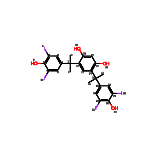 CC(C)(c1cc(I)c(O)c(I)c1)c1cc(C(C)(C)c2cc(I)c(O)c(I)c2)c(O)cc1O